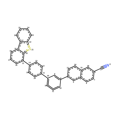 N#Cc1ccc2cc(C3=CC(c4ccc(-c5cccc6c5sc5ccccc56)cc4)=C=C=C3)ccc2c1